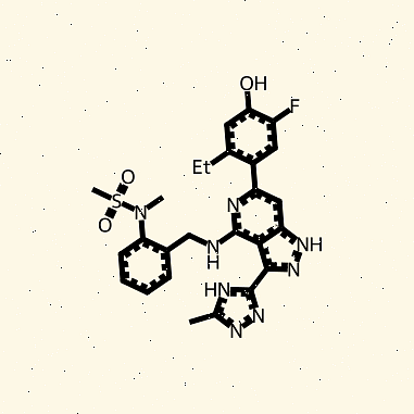 CCc1cc(O)c(F)cc1-c1cc2[nH]nc(-c3nnc(C)[nH]3)c2c(NCc2ccccc2N(C)S(C)(=O)=O)n1